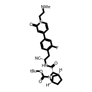 CNCCn1ccc(-c2ccc(C[C@@H](C#N)NC(=O)[C@@H]3[C@H]4CC[C@H](C4)N3C(=O)OC(C)(C)C)c(F)c2)cc1=O